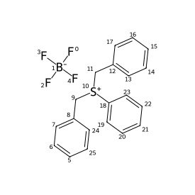 F[B-](F)(F)F.c1ccc(C[S+](Cc2ccccc2)c2ccccc2)cc1